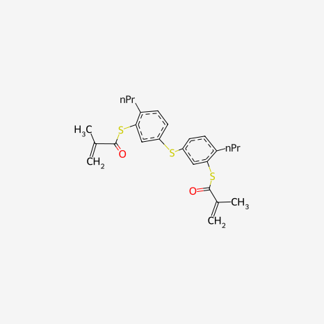 C=C(C)C(=O)Sc1cc(Sc2ccc(CCC)c(SC(=O)C(=C)C)c2)ccc1CCC